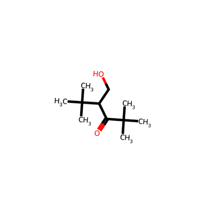 CC(C)(C)C(=O)C(CO)C(C)(C)C